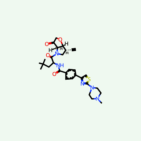 C#C[C@@H]1CN(C(=O)C(CC(C)(C)C)NC(=O)c2ccc(-c3csc(N4CCN(C)CC4)n3)cc2)[C@@H]2C(=O)CO[C@H]12